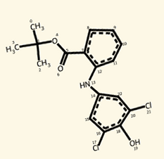 CC(C)(C)OC(=O)c1ccccc1Nc1cc(Cl)c(O)c(Cl)c1